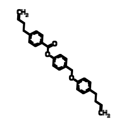 C=CCCc1ccc(OCc2ccc(OC(=O)c3ccc(CCC=C)cc3)cc2)cc1